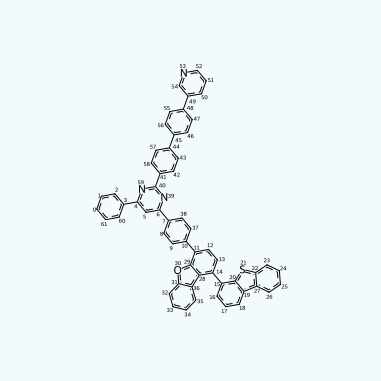 c1ccc(-c2cc(-c3ccc(-c4ccc(-c5cccc6c5sc5ccccc56)c5c4oc4ccccc45)cc3)nc(-c3ccc(-c4ccc(-c5cccnc5)cc4)cc3)n2)cc1